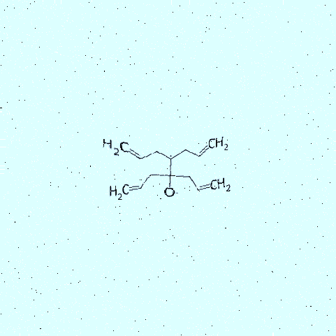 C=CC[C](CC=C)C([O])(CC=C)CC=C